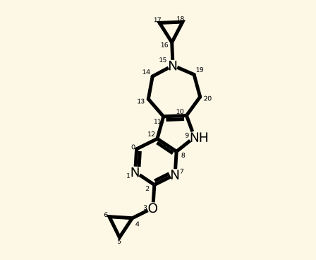 c1nc(OC2CC2)nc2[nH]c3c(c12)CCN(C1CC1)CC3